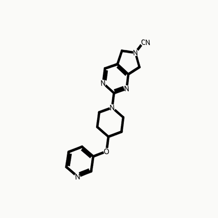 N#CN1Cc2cnc(N3CCC(Oc4cccnc4)CC3)nc2C1